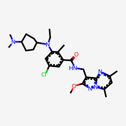 CCN(c1cc(Cl)cc(C(=O)NCc2c(OC)nn3c(C)cc(C)nc23)c1C)C1CCC(N(C)C)CC1